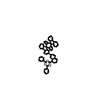 c1ccc(-c2nc(-c3ccccc3)nc(-c3cccc4ccc(-c5ccc6c(c5)C5(c7ccccc7-6)c6ccccc6C6(c7ccccc7-c7ccccc76)c6ccccc65)cc34)n2)cc1